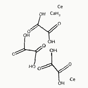 O=C(O)C(=O)O.O=C(O)C(=O)O.O=C(O)C(=O)O.[CaH2].[Ce].[Ce]